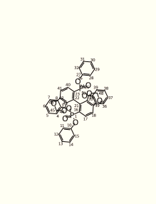 O=P(Oc1ccccc1)(Oc1ccccc1)c1ccc2c(c1-c1c(P(=O)(Oc3ccccc3)Oc3ccccc3)ccc3c1OCO3)OCO2